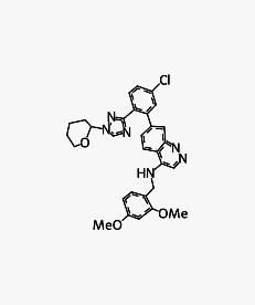 COc1ccc(CNc2cnnc3cc(-c4cc(Cl)ccc4-c4ncn(C5CCCCO5)n4)ccc23)c(OC)c1